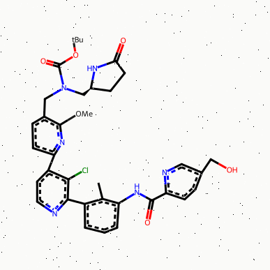 COc1nc(-c2ccnc(-c3cccc(NC(=O)c4ccc(CO)cn4)c3C)c2Cl)ccc1CN(C[C@@H]1CCC(=O)N1)C(=O)OC(C)(C)C